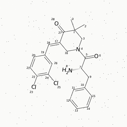 CC1(C)CN(C(=O)[C@@H](N)Cc2ccccc2)C/C(=C\c2ccc(Cl)c(Cl)c2)C1=O